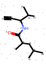 C#CC(NC(=O)C(C)CC(C)C)C(C)C